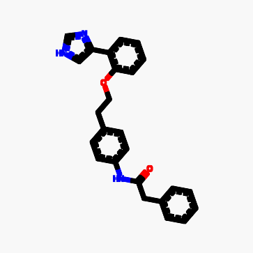 O=C(Cc1ccccc1)Nc1ccc(CCOc2ccccc2-c2c[nH]cn2)cc1